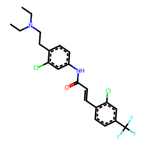 CCN(CC)CCc1ccc(NC(=O)/C=C/c2ccc(C(F)(F)F)cc2Cl)cc1Cl